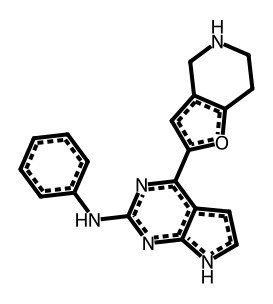 c1ccc(Nc2nc(-c3cc4c(o3)CCNC4)c3cc[nH]c3n2)cc1